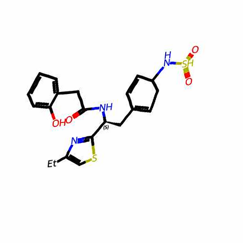 CCc1csc([C@H](CC2=CCC(N[SH](=O)=O)C=C2)NC(=O)Cc2ccccc2O)n1